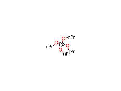 CCC[O][Po]([O]CCC)([O]CCC)[O]CCC